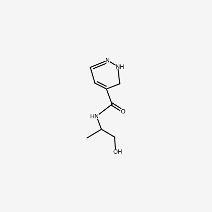 CC(CO)NC(=O)C1=CC=NNC1